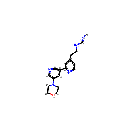 C/N=C/NCCc1ccnc(-c2cncc(N3CCOCC3)c2)c1